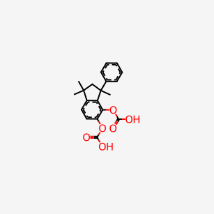 CC1(C)CC(C)(c2ccccc2)c2c1ccc(OC(=O)O)c2OC(=O)O